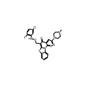 CN1CCN(c2cc3c(=O)c(CONc4cc(Cl)ccc4F)c4sc5ccccc5n4c3nn2)CC1